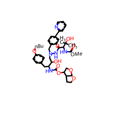 CCCCOc1ccc(CC(NC(=O)OC2COC3OCCC23)C(O)CN(Cc2ccc(-c3ccccn3)cc2)NC(=O)C(NC(=O)OC)C(C)(C)O)cc1